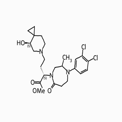 COC(=O)[C@H](CCN1CCC2(CC2)[C@H](O)C1)N1CC(C)N(c2ccc(Cl)c(Cl)c2)CCC1=O